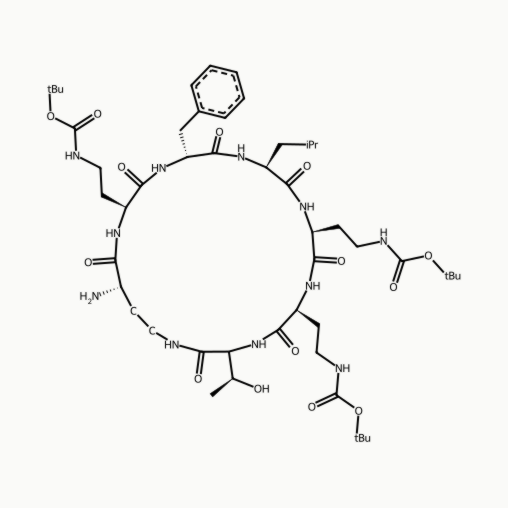 CC(C)C[C@@H]1NC(=O)[C@@H](Cc2ccccc2)NC(=O)[C@H](CCNC(=O)OC(C)(C)C)NC(=O)[C@@H](N)CCNC(=O)C([C@H](C)O)NC(=O)[C@H](CCNC(=O)OC(C)(C)C)NC(=O)[C@H](CCNC(=O)OC(C)(C)C)NC1=O